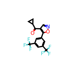 O=C(c1cnoc1-c1cc(C(F)(F)F)cc(C(F)(F)F)c1)C1CC1